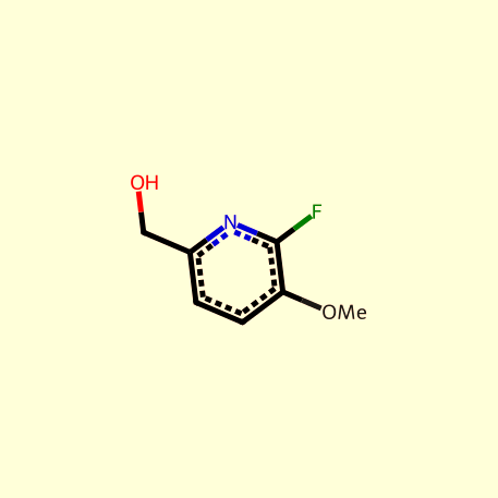 COc1ccc(CO)nc1F